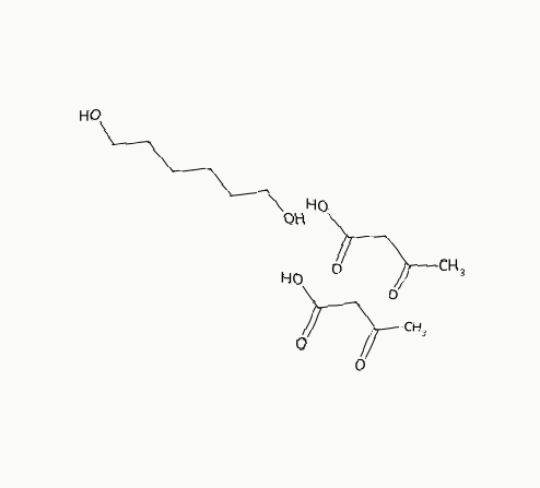 CC(=O)CC(=O)O.CC(=O)CC(=O)O.OCCCCCCO